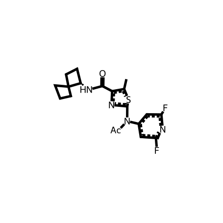 CC(=O)N(c1cc(F)nc(F)c1)c1nc(C(=O)N[C@H]2CCC23CCC3)c(C)s1